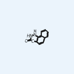 O=C1CC2C=CC3C=CC=CC3=C2NN1